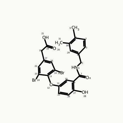 Cc1ccc(CNC(=O)c2cc(Oc3c(Br)cc(CC(=O)O)cc3Br)ccc2O)cc1C